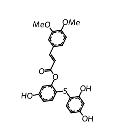 COc1ccc(/C=C/C(=O)Oc2cc(O)ccc2Sc2ccc(O)cc2O)cc1OC